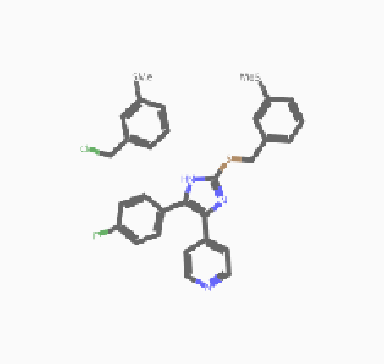 CSc1cccc(CCl)c1.CSc1cccc(CSc2nc(-c3ccncc3)c(-c3ccc(F)cc3)[nH]2)c1